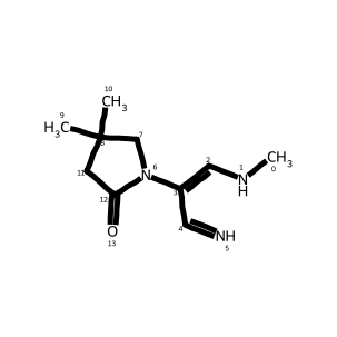 CN/C=C(\C=N)N1CC(C)(C)CC1=O